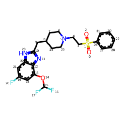 O=S(=O)(CCN1CCC(Cc2nc3c(OC(F)F)cc(F)cc3[nH]2)CC1)c1ccccc1